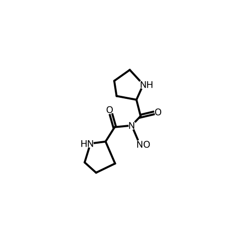 O=NN(C(=O)C1CCCN1)C(=O)C1CCCN1